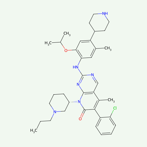 CCCN1CCC[C@H](n2c(=O)c(-c3ccccc3Cl)c(C)c3cnc(Nc4cc(C)c(C5CCNCC5)cc4OC(C)C)nc32)C1